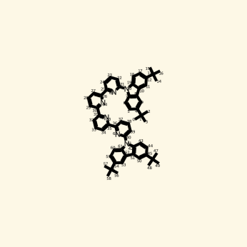 CC(C)(C)c1ccc2c(c1)c1cc(C(C)(C)C)ccc1n2-c1cccc(-c2cccc(-c3cccc(-c4cccc(-n5c6ccc(C(C)(C)C)cc6c6cc(C(C)(C)C)ccc65)n4)n3)n2)n1